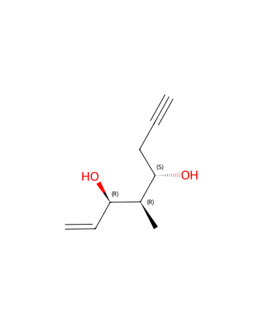 C#CC[C@H](O)[C@@H](C)[C@H](O)C=C